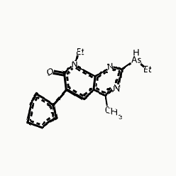 CC[AsH]c1nc(C)c2cc(-c3ccccc3)c(=O)n(CC)c2n1